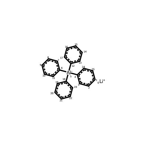 [Li+].c1cc[c]([Al-]([c]2ccccc2)([c]2ccccc2)[c]2ccccc2)cc1